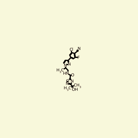 CC(CNC(=O)c1nc(C(C)(C)O)no1)n1ccc(-c2cc(F)c(C#N)c(Cl)c2)n1